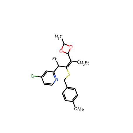 CCOC(=O)/C(=C(\SCc1ccc(OC)cc1)C(CC)c1cc(Cl)ccn1)C1OC(C)O1